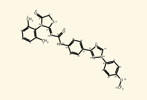 Cc1cccc(C)c1N1C(=O)CSC1=NC(=O)Nc1ccc(-c2ncn(-c3ccc(OC(F)(F)F)cc3)n2)cc1